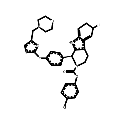 O=C(Oc1ccc(Cl)cc1)N1CCc2c([nH]c3c2=CC(Cl)CC=3)[C@@H]1c1ccc(Oc2ncc(CN3CCOCC3)s2)cc1